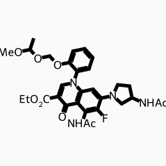 CCOC(=O)c1cn(-c2ccccc2OCOC(C)OC)c2cc(N3CCC(NC(C)=O)C3)c(F)c(NC(C)=O)c2c1=O